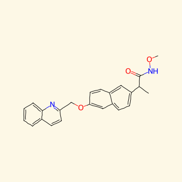 CONC(=O)C(C)c1ccc2cc(OCc3ccc4ccccc4n3)ccc2c1